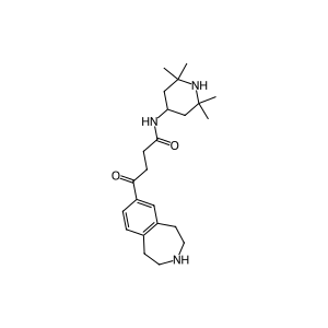 CC1(C)CC(NC(=O)CCC(=O)c2ccc3c(c2)CCNCC3)CC(C)(C)N1